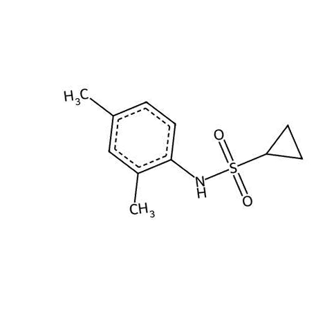 Cc1ccc(NS(=O)(=O)C2CC2)c(C)c1